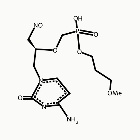 COCCCOP(=O)(O)CO[C@H](CN=O)Cn1ccc(N)nc1=O